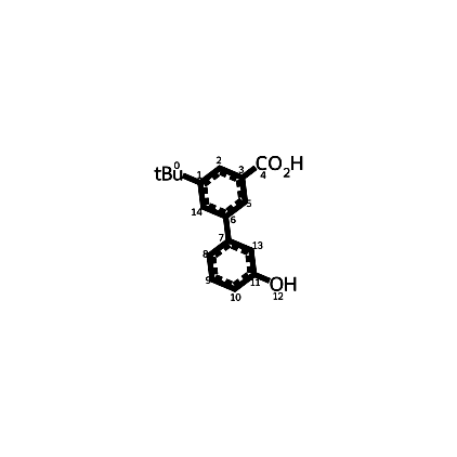 CC(C)(C)c1cc(C(=O)O)cc(-c2cccc(O)c2)c1